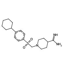 N=C(N)C1CCN(CS(=O)(=O)c2ccc(C3CCCCC3)cc2)CC1